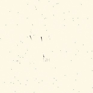 COCCN[C@]12c3c(OC)cc(OC)cc3O[C@@]1(c1ccc(OC)cc1)[C@H](c1ccccc1)[C@@H](C(=O)N(C)C)[C@H]2O